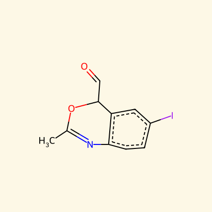 CC1=Nc2ccc(I)cc2C(C=O)O1